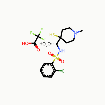 CN1CCC(S)([C@H](NS(=O)(=O)c2ccccc2Cl)C(=O)O)CC1.O=C(O)C(F)(F)F